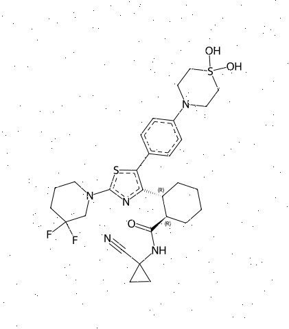 N#CC1(NC(=O)[C@@H]2CCCC[C@H]2c2nc(N3CCCC(F)(F)C3)sc2-c2ccc(N3CCS(O)(O)CC3)cc2)CC1